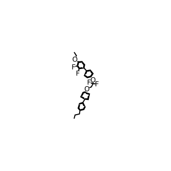 CCCc1ccc(-c2ccc(OCC(F)(F)Oc3ccc(-c4ccc(OCC)c(F)c4F)cc3)cc2)cc1